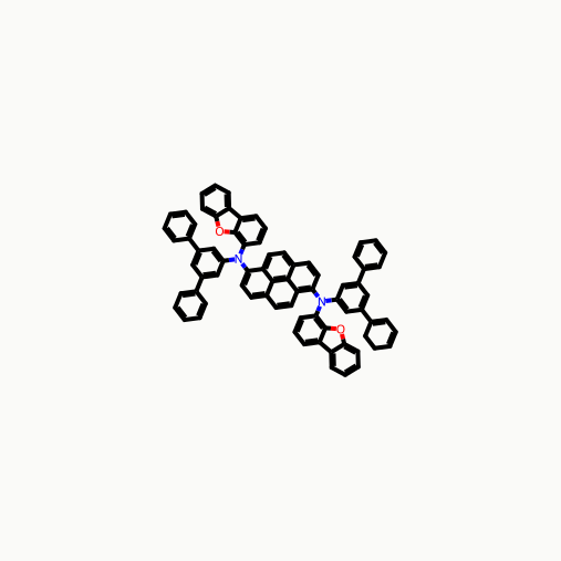 C1=CCCC(c2cc(-c3ccccc3)cc(N(c3ccc4ccc5c(N(c6cc(-c7ccccc7)cc(-c7ccccc7)c6)c6cccc7c6oc6ccccc67)ccc6ccc3c4c65)c3cccc4c3oc3ccccc34)c2)=C1